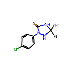 CCCC1(CC)NC(=S)N(c2ccc(Cl)cc2)N1